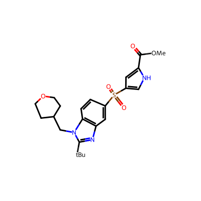 COC(=O)c1cc(S(=O)(=O)c2ccc3c(c2)nc(C(C)(C)C)n3CC2CCOCC2)c[nH]1